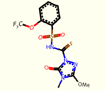 COc1nn(C(=S)NS(=O)(=O)c2ccccc2OC(F)(F)F)c(=O)n1C